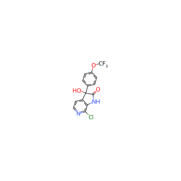 O=C1Nc2c(ccnc2Cl)C1(O)c1ccc(OC(F)(F)F)cc1